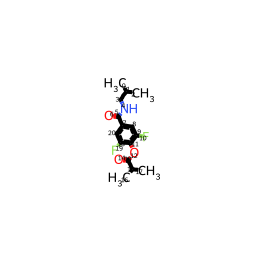 CC(C)CNC(=O)c1cc(F)c(OC(=O)C(C)C)c(F)c1